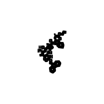 C=CCOC(=O)[C@@H](C)C[C@H](Cc1ccccc1)NC(=O)c1csc([C@H](O)C[C@H](C(C)C)N(C)C(=O)[C@@H](NC(=O)OCC2c3ccccc3-c3ccccc32)[C@@H](C)CC)n1